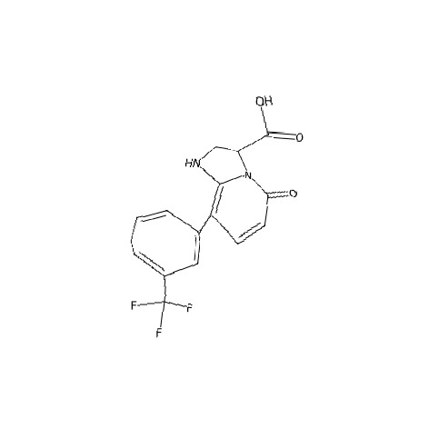 O=C(O)C1CNc2c(-c3cccc(C(F)(F)F)c3)ccc(=O)n21